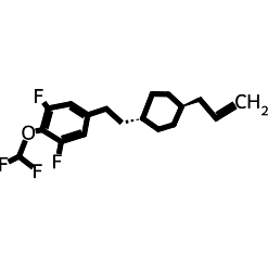 C=CC[C@H]1CC[C@H](CCc2cc(F)c(OC(F)F)c(F)c2)CC1